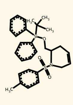 Cc1ccc(S(=O)(=O)N2CC=CCC2CO[Si](c2ccccc2)(c2ccccc2)C(C)(C)C)cc1